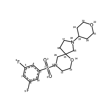 O=S(=O)(c1cc(F)cc(F)c1)N1CCOC2(CCN(C3CCOCC3)C2)C1